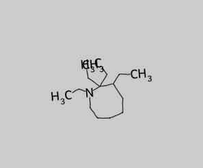 CCC1CCCCCN(CC)C1(CC)CC